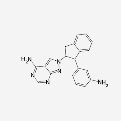 Nc1cccc(C2c3ccccc3CC2n2cc3c(N)ncnc3n2)c1